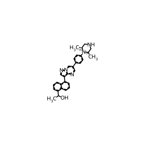 CC(O)c1cccc2c(-c3cnn4cc(-c5ccc(N6[C@H](C)CNC[C@@H]6C)cc5)cnc34)cccc12